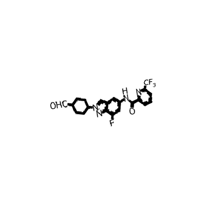 O=CC1CCC(n2cc3cc(NC(=O)c4cccc(C(F)(F)F)n4)cc(F)c3n2)CC1